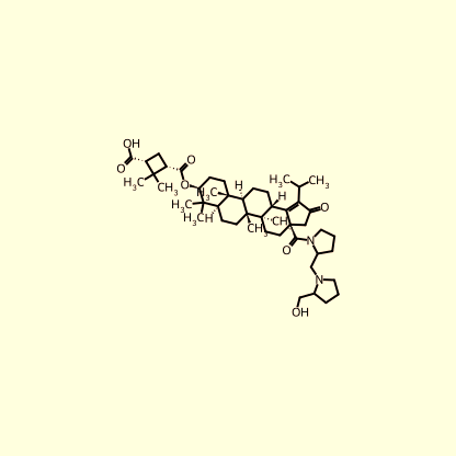 CC(C)C1=C2[C@H]3CC[C@@H]4[C@@]5(C)CC[C@H](OC(=O)[C@H]6C[C@@H](C(=O)O)C6(C)C)C(C)(C)[C@@H]5CC[C@@]4(C)[C@]3(C)CC[C@@]2(C(=O)N2CCCC2CN2CCCC2CO)CC1=O